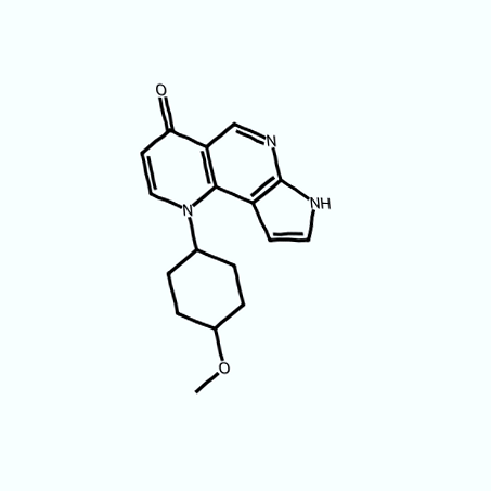 COC1CCC(n2ccc(=O)c3cnc4[nH]ccc4c32)CC1